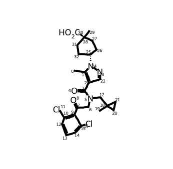 Cc1c(C(=O)N(CC(=O)c2c(Cl)cccc2Cl)CC2(C)CC2)cnn1[C@H]1CC[C@](C)(C(=O)O)CC1